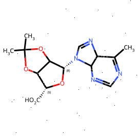 CC1=NC=NC2C1N=CN2[C@@H]1O[C@H](C(=O)O)C2OC(C)(C)OC21